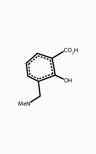 CNCc1c[c]cc(C(=O)O)c1O